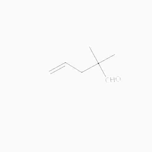 C=CCC(C)(C)C=O